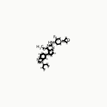 COc1nc(N[C@@H]2CCN(C3COC3)C[C@H]2F)nn2ccc(-c3ccc4nnn(C(CF)CF)c4c3)c12